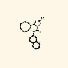 CC1CC(C2CCCCCCC2)C(C(=O)Nc2ccc3ccccc3c2)O1